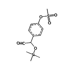 C[Si](C)(C)OC(C=O)c1ccc(OS(C)(=O)=O)cc1